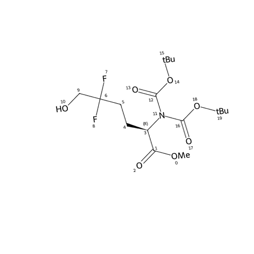 COC(=O)[C@@H](CCC(F)(F)CO)N(C(=O)OC(C)(C)C)C(=O)OC(C)(C)C